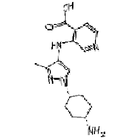 Cc1nn([C@H]2CC[C@@H](N)CC2)cc1Nc1cnccc1C(=O)O